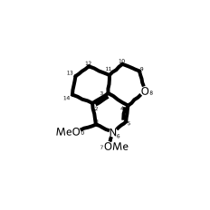 COC1C2=C3C(=CN1OC)OCCC3CCC2